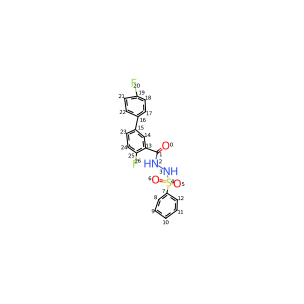 O=C(NNS(=O)(=O)c1ccccc1)c1cc(-c2ccc(F)cc2)ccc1F